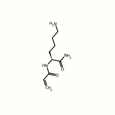 C=CC(=O)N[C@@H](CCCCN)C(N)=O